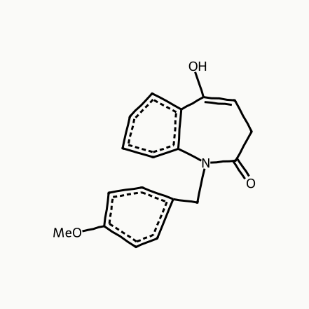 COc1ccc(CN2C(=O)CC=C(O)c3ccccc32)cc1